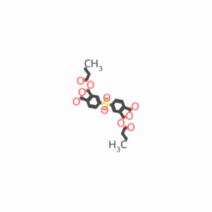 CCCC(=O)OC1OC(=O)c2ccc(S(=O)(=O)c3ccc4c(c3)C(OC(=O)CCC)OC4=O)cc21